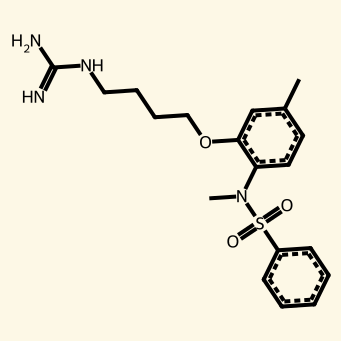 Cc1ccc(N(C)S(=O)(=O)c2ccccc2)c(OCCCCNC(=N)N)c1